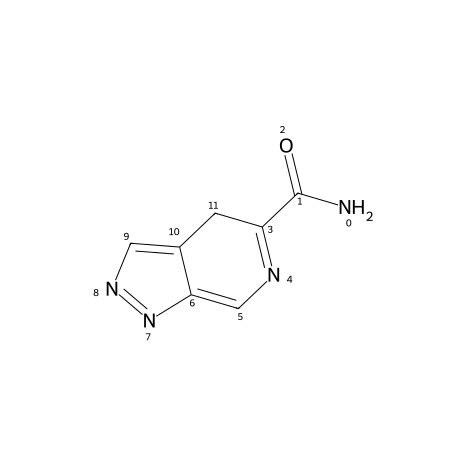 NC(=O)C1=NC=C2N=NC=C2C1